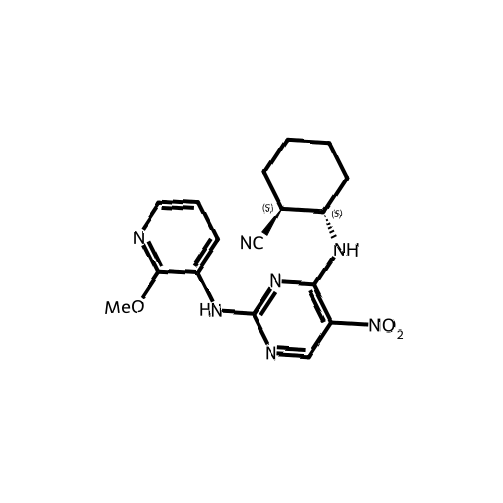 COc1ncccc1Nc1ncc([N+](=O)[O-])c(N[C@H]2CCCC[C@@H]2C#N)n1